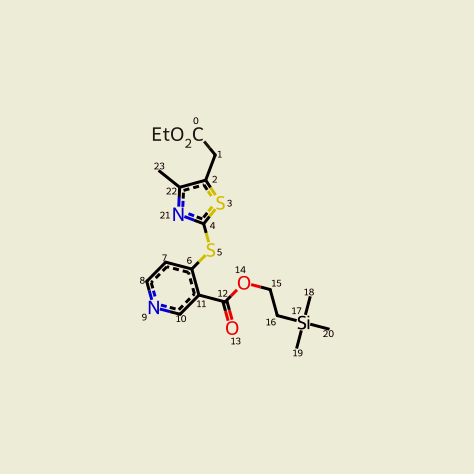 CCOC(=O)Cc1sc(Sc2ccncc2C(=O)OCC[Si](C)(C)C)nc1C